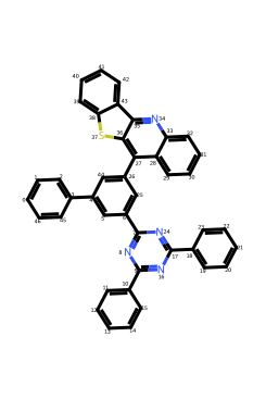 c1ccc(-c2cc(-c3nc(-c4ccccc4)nc(-c4ccccc4)n3)cc(-c3c4ccccc4nc4c3sc3ccccc34)c2)cc1